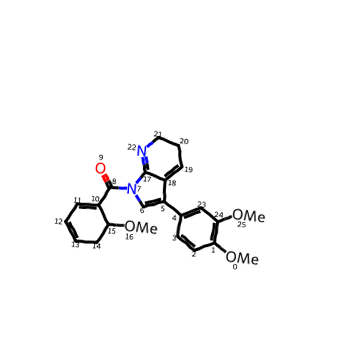 COc1ccc(-c2cn(C(=O)C3=CC=CCC3OC)c3c2=CCCN=3)cc1OC